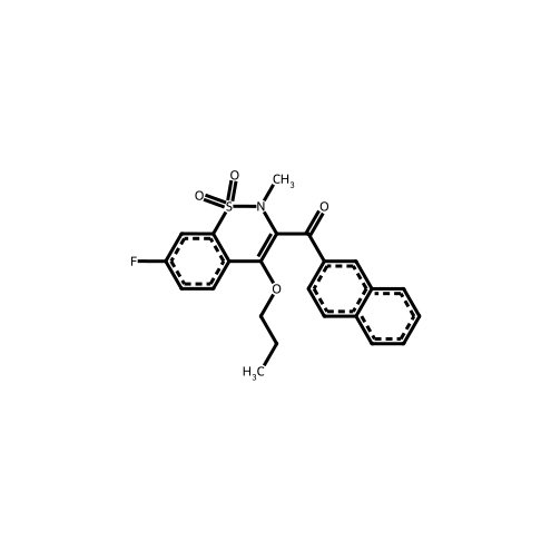 CCCOC1=C(C(=O)c2ccc3ccccc3c2)N(C)S(=O)(=O)c2cc(F)ccc21